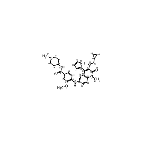 COc1cc(C(=O)NC2CCN(C)CC2)ccc1Nc1ncc2c(n1)c(-c1ccc[nH]1)c(OCC1CC1)c(=O)n2C